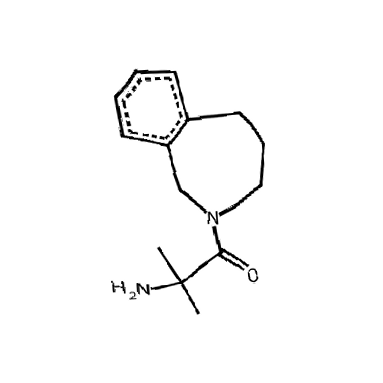 CC(C)(N)C(=O)N1CCCc2ccccc2C1